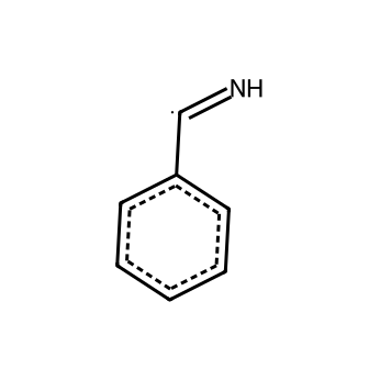 N=[C]c1ccccc1